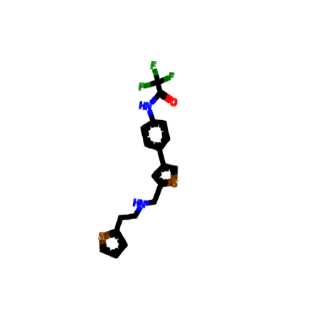 O=C(Nc1ccc(-c2csc(CNCCc3cccs3)c2)cc1)C(F)(F)F